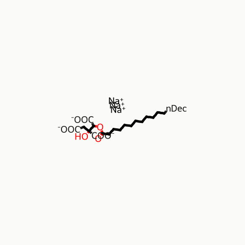 CCCCCCCCCCCCCCCCCCCCCC(=O)OC(C(=O)[O-])C(O)(CC(=O)[O-])C(=O)[O-].[Na+].[Na+].[Na+]